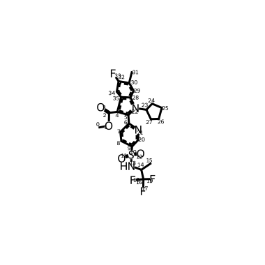 COC(=O)c1c(-c2ccc(S(=O)(=O)NC(C)C(F)(F)F)cn2)n(C2CCCC2)c2cc(C)c(F)cc12